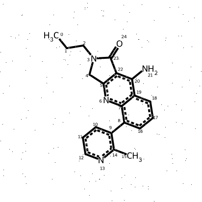 CCCN1Cc2nc3c(-c4cccnc4C)cccc3c(N)c2C1=O